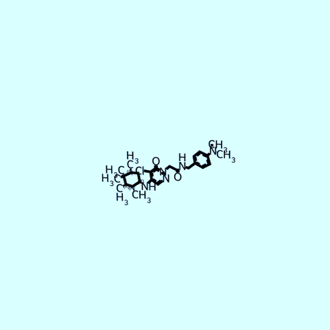 C[C@@H]1[C@@H](C)C(C)(C)[C@@H](C)C[C@H]1Nc1cnn(CC(=O)NCc2ccc(N(C)C)cc2)c(=O)c1Cl